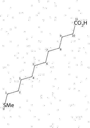 CSCCCCCCCCCCC(=O)O